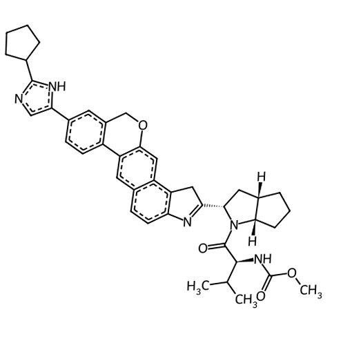 COC(=O)N[C@H](C(=O)N1[C@H](C2=Nc3ccc4cc5c(cc4c3C2)OCc2cc(-c3cnc(C4CCCC4)[nH]3)ccc2-5)C[C@@H]2CCC[C@@H]21)C(C)C